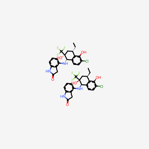 CC[C@@H]1C[C@@](O)(C(F)(F)F)[C@H](Nc2cccc3c2CC(=O)N3)c2ccc(Cl)c(O)c21.CC[C@H]1C[C@](O)(C(F)(F)F)[C@@H](Nc2cccc3c2CC(=O)N3)c2ccc(Cl)c(O)c21